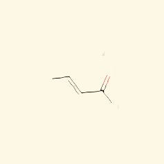 CC=CC(C)=O.[CaH2]